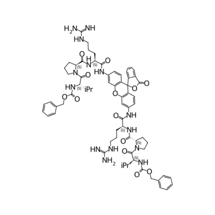 CC(C)[C@H](NC(=O)OCc1ccccc1)C(=O)N1CCC[C@H]1C(=O)N[C@@H](CCCNC(=N)N)C(=O)Nc1ccc2c(c1)Oc1cc(NC(=O)[C@H](CCCNC(=N)N)NC(=O)[C@@H]3CCCN3C(=O)[C@@H](NC(=O)OCc3ccccc3)C(C)C)ccc1C21OC(=O)c2ccccc21